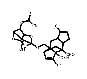 CCC(C#N)OC1C2OC3(OCC45CC6C(C)CCC6C6(C=O)CC4C=C(C(C)C)C65C(=O)O)OC2OC1C3O